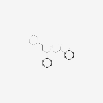 OC(CNC(CCN1CCOCC1)c1ccccc1)c1ccccc1